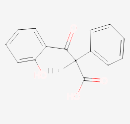 CC(C(=O)O)(C(=O)c1ccccc1O)c1ccccc1